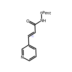 CCCCCNC(=O)/C=C/c1cccnc1